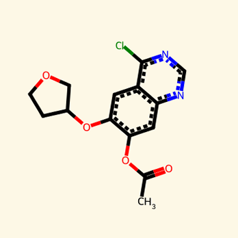 CC(=O)Oc1cc2ncnc(Cl)c2cc1OC1CCOC1